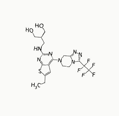 CCc1cc2c(N3CCn4c(nnc4C(F)(F)C(F)(F)F)C3)nc(NCC(CO)CO)nc2s1